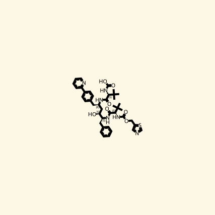 CC(C)(C)[C@H](NC(=O)O)C(=O)N[C@H](Cc1ccc(-c2ccccn2)cc1)C[C@H](O)[C@H](Cc1ccccc1)NC(=O)[C@@H](NC(=O)OCc1cncs1)C(C)(C)C